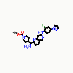 CC(C)(C)OC(=O)N1CCC(C(N)c2ccc3cnc(Nc4ccc(-n5cccn5)cc4F)cc3n2)CC1